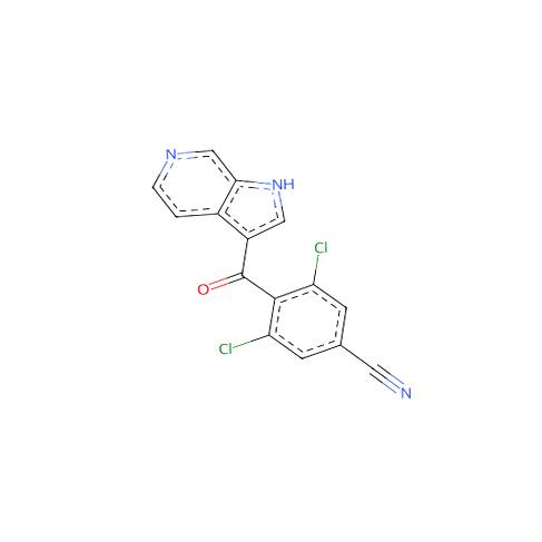 N#Cc1cc(Cl)c(C(=O)c2c[nH]c3cnccc23)c(Cl)c1